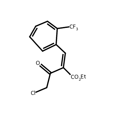 CCOC(=O)C(=Cc1ccccc1C(F)(F)F)C(=O)CCl